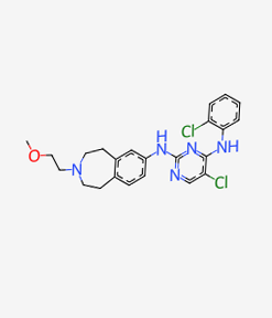 COCCN1CCc2ccc(Nc3ncc(Cl)c(Nc4ccccc4Cl)n3)cc2CC1